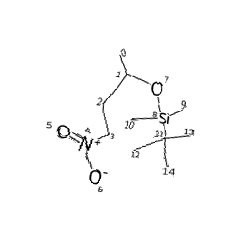 CC(CC[N+](=O)[O-])O[Si](C)(C)C(C)(C)C